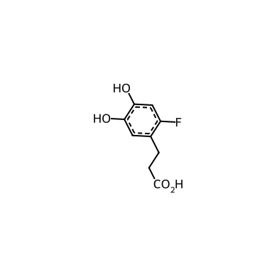 O=C(O)CCc1cc(O)c(O)cc1F